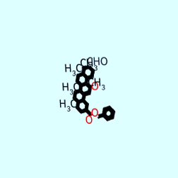 CC12CCC(C(=O)OCc3ccccc3)CC1C1=CC(=O)C3C(C)(CCC4C(C)(C)C(C=O)CCC43C)C1CC2